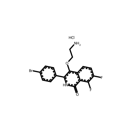 Cl.NCCOc1c(-c2ccc(Br)cc2)[nH]c(=O)c2c(F)c(F)ccc12